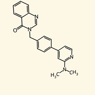 CN(C)c1cc(-c2ccc(Cn3cnc4ccccc4c3=O)cc2)ccn1